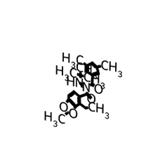 CCc1c(C(=O)N(NC(C)(C)C)C(=O)c2cc(C)cc(C)c2)ccc2c1OC(C)O2